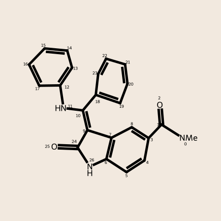 CNC(=O)c1ccc2c(c1)/C(=C(/Nc1ccccc1)c1ccccc1)C(=O)N2